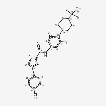 Cc1cc(NC(=O)c2cc(-c3ccc(Cl)cc3)cs2)cnc1N1CCC(C(C)(C)O)CC1